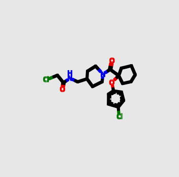 O=C(CCl)NCC1CCN(C(=O)C2(Oc3ccc(Cl)cc3)CCCCC2)CC1